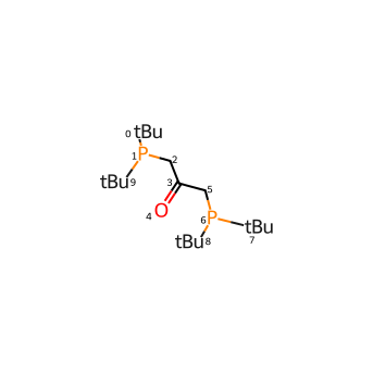 CC(C)(C)P(CC(=O)CP(C(C)(C)C)C(C)(C)C)C(C)(C)C